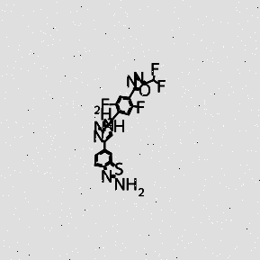 [2H]C([2H])(c1cc(F)c(-c2nnc(C(F)F)o2)cc1F)n1cc(-c2ccc3nc(N)sc3c2)nn1